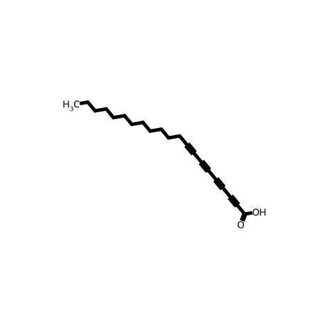 CCCCCCCCCCCCC#CC#CC#CC#CC(=O)O